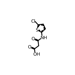 O=C(O)CC(=O)Nc1ccc(Cl)s1